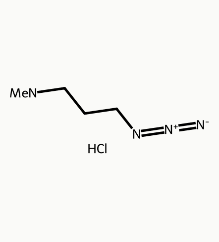 CNCCCN=[N+]=[N-].Cl